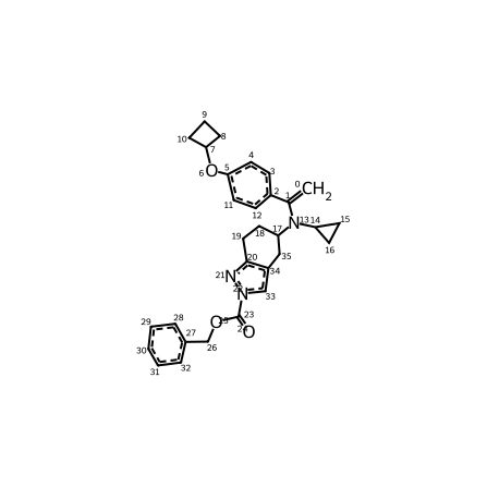 C=C(c1ccc(OC2CCC2)cc1)N(C1CC1)C1CCc2nn(C(=O)OCc3ccccc3)cc2C1